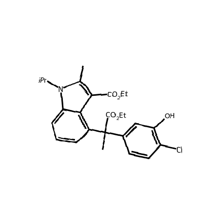 CCOC(=O)c1c(C)n(C(C)C)c2cccc(C(C)(C(=O)OCC)c3ccc(Cl)c(O)c3)c12